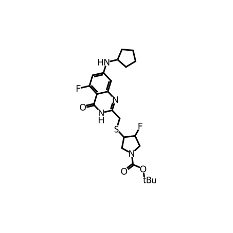 CC(C)(C)OC(=O)N1CC(F)C(SCc2nc3cc(NC4CCCC4)cc(F)c3c(=O)[nH]2)C1